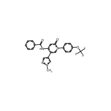 Cn1cc(-c2cn(-c3ccc(OC(F)(F)F)cc3)c(=O)cc2NC(=O)c2ccccc2)cn1